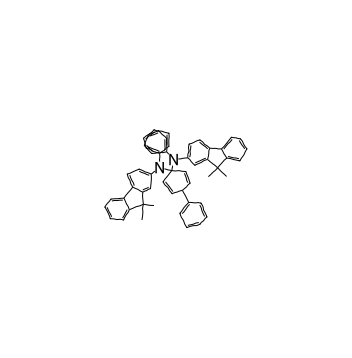 CC1(C)c2ccccc2-c2ccc(N(c3ccccc3)C3(N(c4ccccc4)c4ccc5c(c4)C(C)(C)c4ccccc4-5)C=CC(c4ccccc4)C=C3)cc21